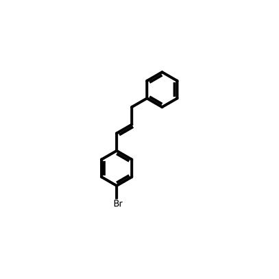 Brc1ccc(C=CCc2ccccc2)cc1